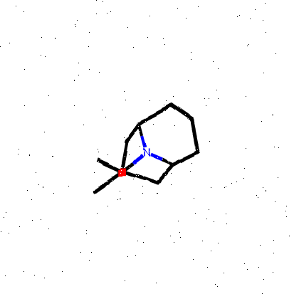 CCN1C2CCCC1CC(C)C2